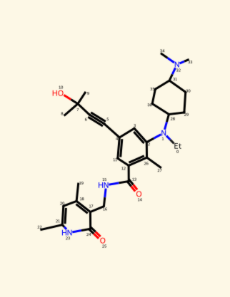 CCN(c1cc(C#CC(C)(C)O)cc(C(=O)NCc2c(C)cc(C)[nH]c2=O)c1C)C1CCC(N(C)C)CC1